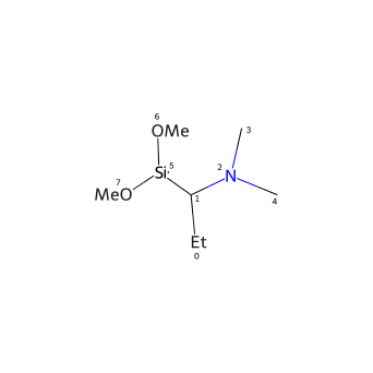 CCC(N(C)C)[Si](OC)OC